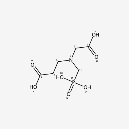 O=C(O)CCN(CC(=O)O)CP(=O)(O)O